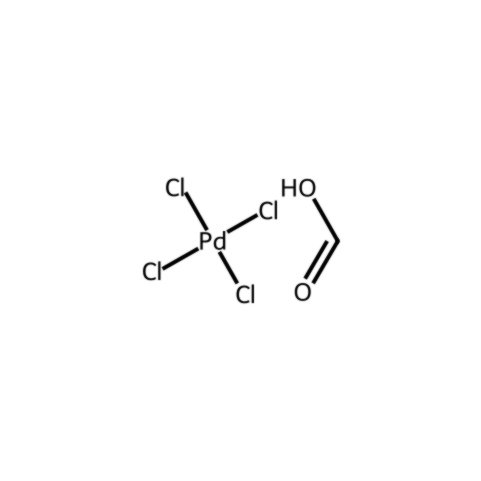 O=CO.[Cl][Pd]([Cl])([Cl])[Cl]